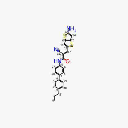 CCCc1ccc(-c2ccc(NC(=O)/C(C#N)=C/c3cc4sc(N)cc4s3)cc2)cc1